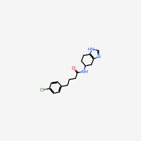 O=C(CCCc1ccc(Cl)cc1)NC1CCc2[nH]cnc2C1